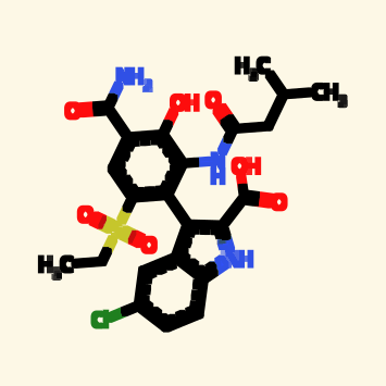 CCS(=O)(=O)c1cc(C(N)=O)c(O)c(NC(=O)CC(C)C)c1-c1c(C(=O)O)[nH]c2ccc(Cl)cc12